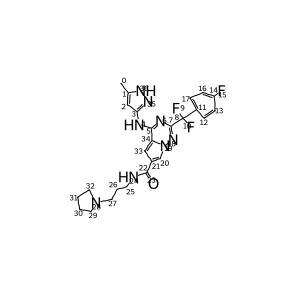 Cc1cc(Nc2nc(C(F)(F)c3ccc(F)cc3)nn3cc(C(=O)NCCCN4CCCC4)cc23)n[nH]1